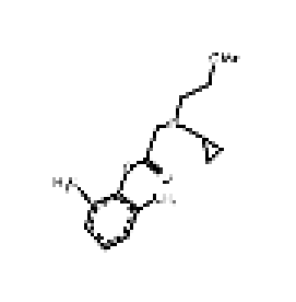 COCCN(CC(=O)Oc1c(C)cccc1C)C1CC1